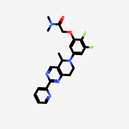 CC1c2cnc(-c3ccccn3)nc2CCN1c1cc(F)c(F)c(OCC(=O)N(C)C)c1